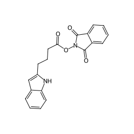 O=C(CCCc1cc2ccccc2[nH]1)ON1C(=O)c2ccccc2C1=O